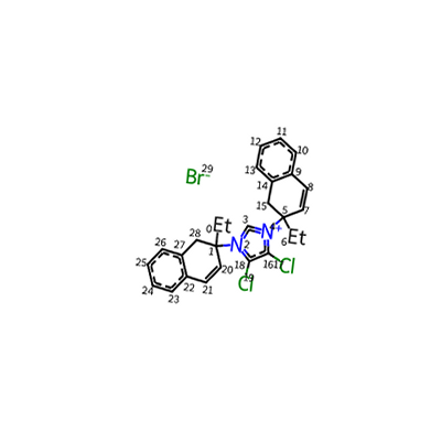 CCC1(n2c[n+](C3(CC)C=Cc4ccccc4C3)c(Cl)c2Cl)C=Cc2ccccc2C1.[Br-]